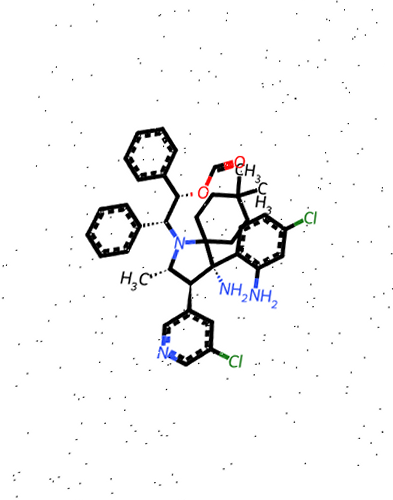 C[C@H]1[C@H](c2cncc(Cl)c2)[C@](N)(c2ccc(Cl)cc2N)C2(CCC(C)(C)CC2)N1[C@H](c1ccccc1)[C@@H](OC=O)c1ccccc1